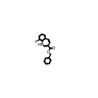 O=C(OCc1ccccc1)C1=CNc2c(F)cccc2C=C1